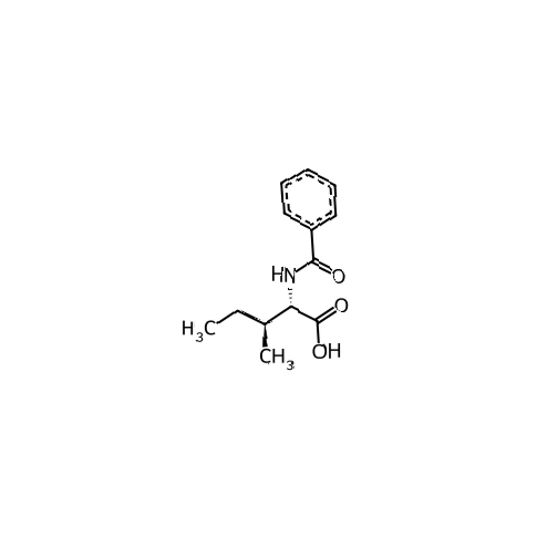 CC[C@H](C)[C@H](NC(=O)c1ccccc1)C(=O)O